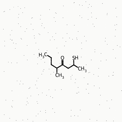 CCCC(C)C(=O)CC(C)S